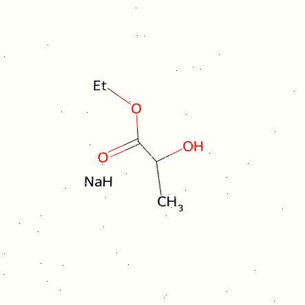 CCOC(=O)C(C)O.[NaH]